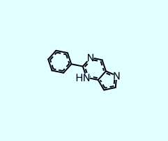 c1ccc(-c2ncc3nccc-3[nH]2)cc1